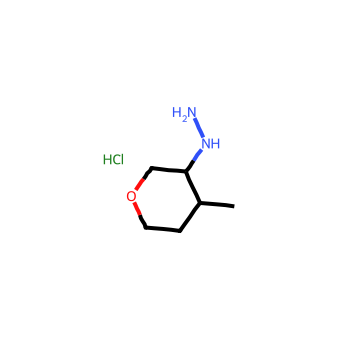 CC1CCOCC1NN.Cl